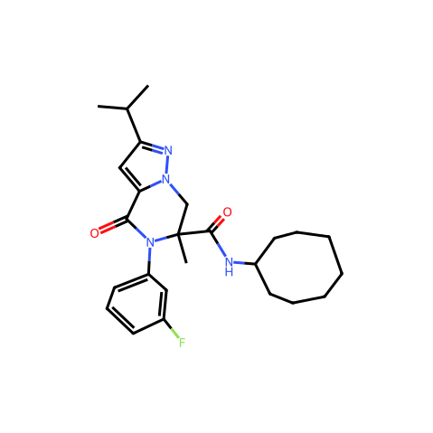 CC(C)c1cc2n(n1)CC(C)(C(=O)NC1CCCCCCC1)N(c1cccc(F)c1)C2=O